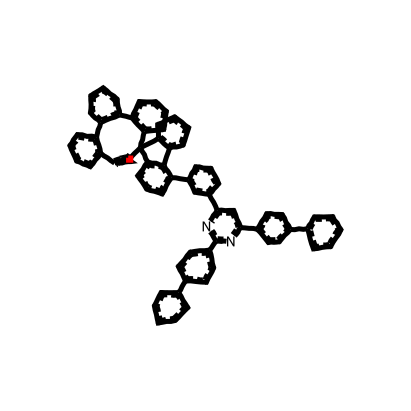 c1ccc(-c2ccc(-c3cc(-c4cccc(-c5cccc6c5-c5ccccc5C65c6ccccc6-c6ccccc6-c6ccccc6-c6ccccc65)c4)nc(-c4ccc(-c5ccccc5)cc4)n3)cc2)cc1